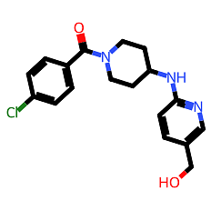 O=C(c1ccc(Cl)cc1)N1CCC(Nc2ccc(CO)cn2)CC1